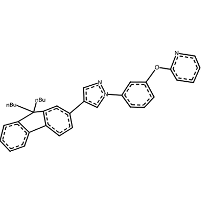 CCCCC1(CCCC)c2ccccc2-c2ccc(-c3cnn(-c4cccc(Oc5ccccn5)c4)c3)cc21